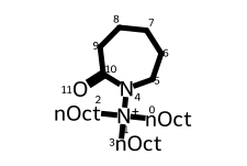 CCCCCCCC[N+](CCCCCCCC)(CCCCCCCC)N1CCCCCC1=O